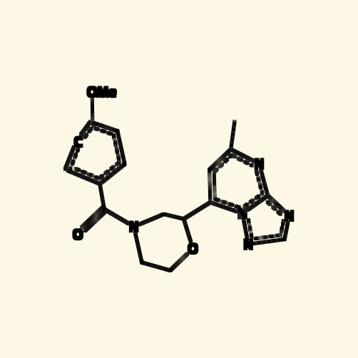 COc1ccc(C(=O)N2CCOC(c3cc(C)nc4ncnn34)C2)cc1